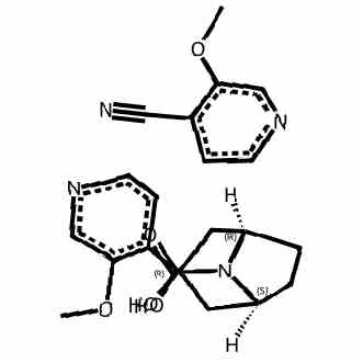 COc1cnccc1C#N.COc1cnccc1[C@]1(O)C[C@H]2CC[C@@H](C1)N2C(=O)O